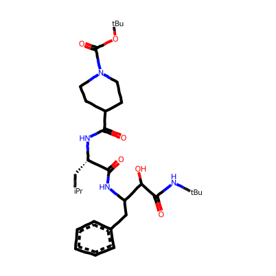 CC(C)C[C@H](NC(=O)C1CCN(C(=O)OC(C)(C)C)CC1)C(=O)NC(Cc1ccccc1)C(O)C(=O)NC(C)(C)C